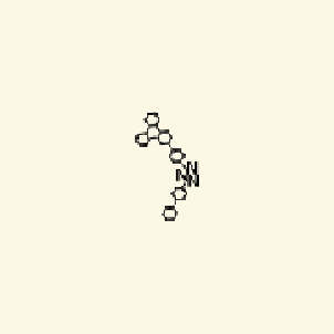 c1ccc(-c2ccc(-c3ncnc(-c4ccc(-c5ccc6c7ccccc7c7ccccc7c6c5)cc4)n3)cc2)cc1